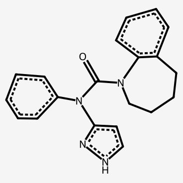 O=C(N1CCCCc2ccccc21)N(c1ccccc1)c1cc[nH]n1